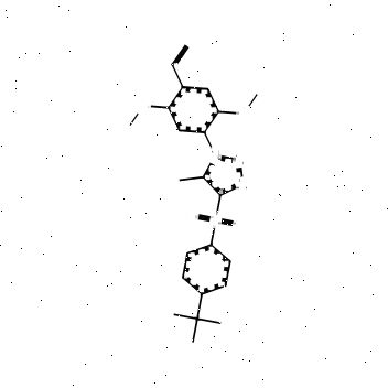 C=Cc1cc(OC)c(-n2nnc(S(=O)(=O)c3ccc(C(C)(C)C)cc3)c2C)cc1OC